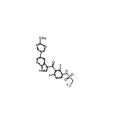 COc1ncc(-c2cnc3[nH]cc(C(=O)c4c(F)ccc(NS(=O)(=O)CC(F)(F)F)c4F)c3c2)cn1